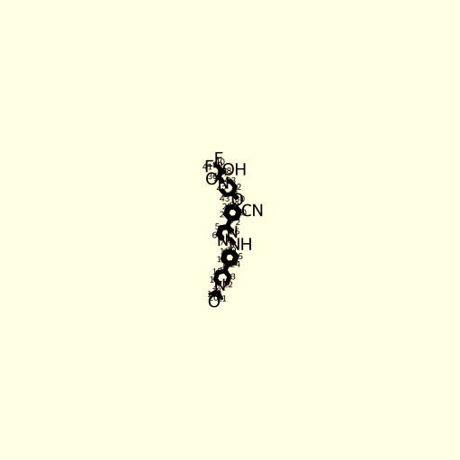 N#Cc1cc(-c2ccnc(Nc3ccc(C4CCN(C5COC5)CC4)cc3)n2)ccc1OC1CCN(C(=O)[C@H](O)C(F)F)CC1